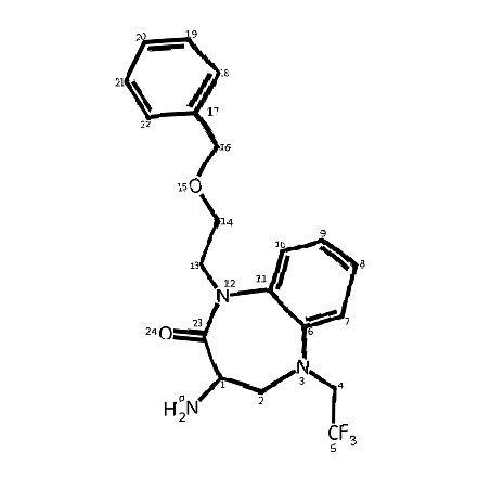 NC1CN(CC(F)(F)F)c2ccccc2N(CCOCc2ccccc2)C1=O